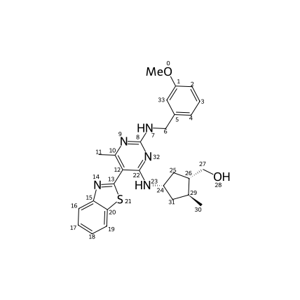 COc1cccc(CNc2nc(C)c(-c3nc4ccccc4s3)c(N[C@@H]3C[C@H](CO)[C@@H](C)C3)n2)c1